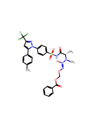 Cc1ccc(-c2cc(C(F)(F)F)nn2-c2ccc(S(=O)(=O)NC(=O)[C@H](C)N(C)[N+]([O-])=NOCOC(=O)c3ccccc3)cc2)cc1